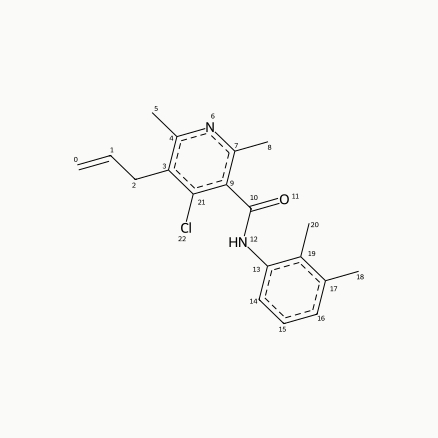 C=CCc1c(C)nc(C)c(C(=O)Nc2cccc(C)c2C)c1Cl